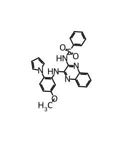 COc1ccc(-n2cccc2)c(Nc2nc3ccccc3nc2NS(=O)(=O)c2ccccc2)c1